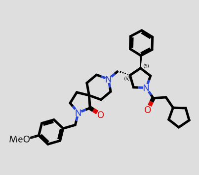 COc1ccc(CN2CCC3(CCN(C[C@H]4CN(C(=O)CC5CCCC5)C[C@@H]4c4ccccc4)CC3)C2=O)cc1